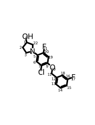 OC1CCN(c2cc(Cl)c(OCc3cccc(F)c3)cc2F)C1